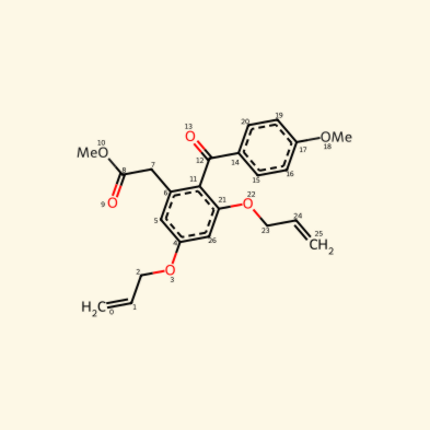 C=CCOc1cc(CC(=O)OC)c(C(=O)c2ccc(OC)cc2)c(OCC=C)c1